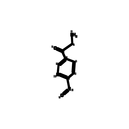 BCC(=O)c1ccc(N=O)nc1